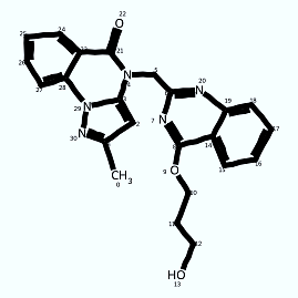 Cc1cc2n(Cc3nc(OCCCO)c4ccccc4n3)c(=O)c3ccccc3n2n1